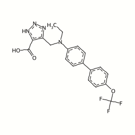 CCN(Cc1nn[nH]c1C(=O)O)c1ccc(-c2ccc(OC(F)(F)F)cc2)cc1